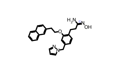 N/C(CCc1ccc(Cn2cccn2)cc1OCCc1ccc2ccccc2c1)=N/O